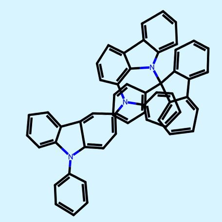 c1ccc(N(c2ccc3c(c2)c2ccccc2n3-c2ccccc2)c2cccc3c4ccccc4n(C4(c5ccccc5)c5ccccc5-c5ccccc54)c23)cc1